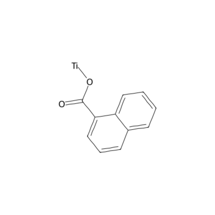 O=C([O][Ti])c1cccc2ccccc12